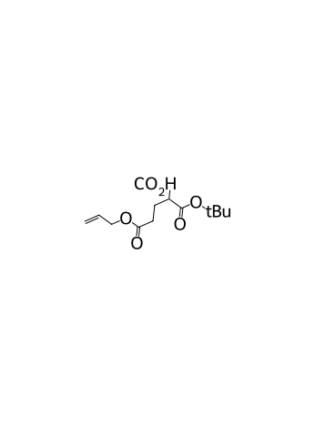 C=CCOC(=O)CCC(C(=O)O)C(=O)OC(C)(C)C